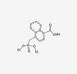 CCOP(=O)(Cc1ccc(C(=O)OC)c2ccccc12)OCC